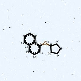 c1ccc2c(SC3CCCC3)cccc2c1